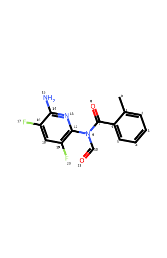 Cc1ccccc1C(=O)N(C=O)c1nc(N)c(F)cc1F